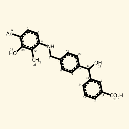 CC(=O)c1ccc(NCc2ccc(C(O)c3cccc(C(=O)O)c3)cc2)c(C)c1O